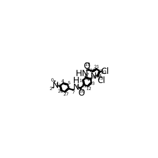 CN(C)c1ccc(CNC(=O)c2ccc3c(c2)[nH]c(=O)c2cc(Cl)c(Cl)n23)cc1